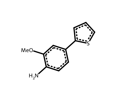 COc1cc(-c2cccs2)ccc1N